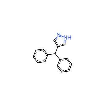 c1ccc(C(c2ccccc2)c2cn[nH]c2)cc1